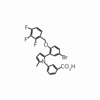 Cc1ccc(-c2cc(Br)ccc2OCc2ccc(F)c(F)c2F)n1-c1cccc(C(=O)O)c1